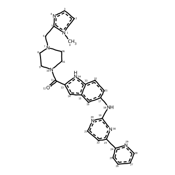 Cn1ccnc1CN1CCN(C(=O)c2cc3cc(Nc4nccc(-c5ccccn5)n4)ccc3[nH]2)CC1